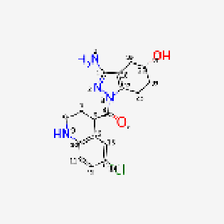 Nc1nn(C(=O)[C@@H]2CCNc3ccc(Cl)cc32)c2c1C[C@H](O)CC2